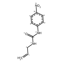 C=CCNC(=O)Nc1ccc([N+](=O)[O-])cc1